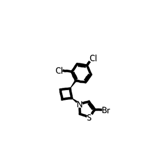 Clc1ccc([C@@H]2CC[C@@H]2N2C=C(Br)SC2)c(Cl)c1